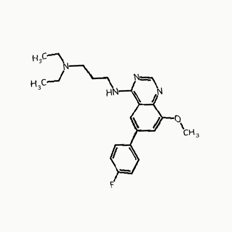 CCN(CC)CCCNc1ncnc2c(OC)cc(-c3ccc(F)cc3)cc12